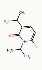 CC(C)c1ccc(F)n(C(C)C)c1=O